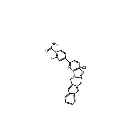 Cl.NC(=O)c1ccc(-c2ccc3nnn(Cc4cc5cccnc5cc4F)c3n2)cc1F